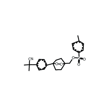 Cc1ccc(S(=O)(=O)OCC23CCC(c4ccc(C(C)(C)C#N)cc4)(CC2)OC3)cc1